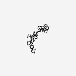 O=C(/C=C/c1csc(NC2CCN(C(=O)c3ccc(Cl)cc3)C2)n1)NOC1CCCCO1